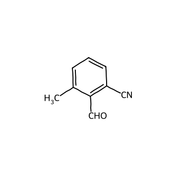 Cc1cccc(C#N)c1C=O